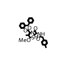 CO[C@H]1S[C@@H]2[C@@H](NC(=O)Cc3ccc(C)cc3)C(=O)N2C(C(=O)OC(c2ccccc2)c2ccccc2)=C1C